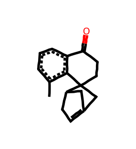 Cc1cccc2c1C1(CCC2=O)CC2=CCC1C2